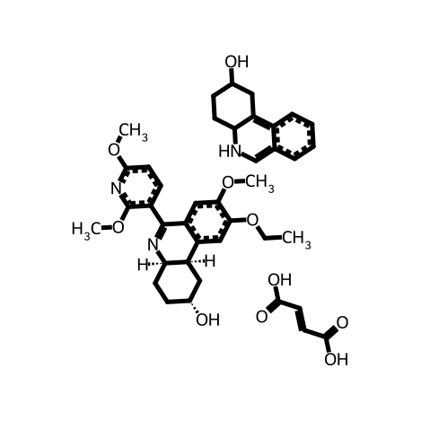 CCOc1cc2c(cc1OC)C(c1ccc(OC)nc1OC)=N[C@@H]1CC[C@@H](O)C[C@H]21.O=C(O)/C=C/C(=O)O.OC1CCC2NC=c3ccccc3=C2C1